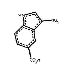 O=C(O)c1ccc2[nH]cc([N+](=O)[O-])c2c1